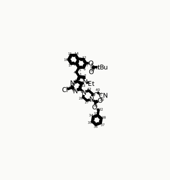 CCn1cc(Cc2cc(OC(=O)C(C)(C)C)cc3ccccc23)c2nc(Cl)nc(N3CCN(C(=O)OCc4ccccc4)[C@@H](CC#N)C3)c21